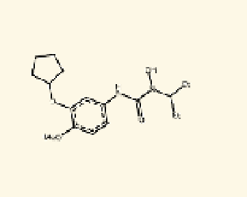 CCC(CC)N(O)C(=O)Nc1ccc(OC)c(OC2CCCC2)c1